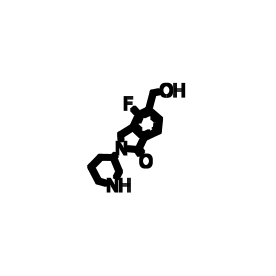 O=C1c2ccc(CO)c(F)c2CN1C1CCCNC1